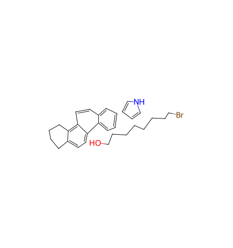 OCCCCCCCCBr.c1cc[nH]c1.c1ccc2c(c1)ccc1c3c(ccc12)CCCC3